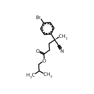 CC(C)COC(=O)CC[C@@](C)(C#N)c1ccc(Br)cc1